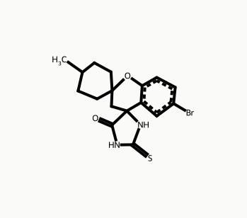 CC1CCC2(CC1)CC1(NC(=S)NC1=O)c1cc(Br)ccc1O2